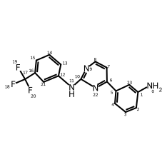 Nc1cccc(-c2ccnc(Nc3cccc(C(F)(F)F)c3)n2)c1